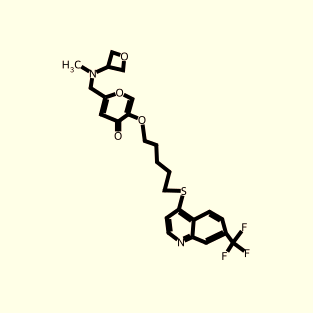 CN(Cc1cc(=O)c(OCCCCCSc2ccnc3cc(C(F)(F)F)ccc23)co1)C1COC1